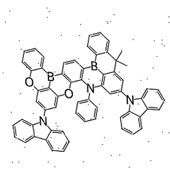 CC1(C)c2ccccc2B2c3ccc4c(c3N(c3ccccc3)c3cc(-n5c6ccccc6c6ccccc65)cc1c32)Oc1cc(-n2c3ccccc3c3ccccc32)cc2c1B4c1ccccc1O2